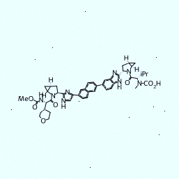 COC(=O)N[C@H](C(=O)N1[C@@H]2C[C@H]2C[C@H]1c1nc(-c2ccc3cc(-c4ccc5[nH]c([C@@H]6C[C@H]7C[C@H]7N6C(=O)[C@H](C(C)C)N(C)C(=O)O)nc5c4)ccc3c2)c[nH]1)C1CCOCC1